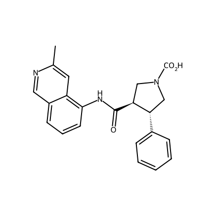 Cc1cc2c(NC(=O)[C@H]3CN(C(=O)O)C[C@@H]3c3ccccc3)cccc2cn1